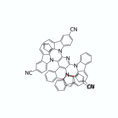 N#Cc1ccc2c(c1)c1ccccc1n2-c1nc(-n2c3ccccc3c3cc(C#N)ccc32)c(-n2c3ccccc3c3cc(C#N)ccc32)c(-c2ccccc2-c2ccccn2)c1-n1c2ccccc2c2cc(C#N)ccc21